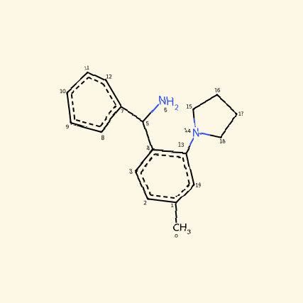 Cc1ccc(C(N)c2ccccc2)c(N2CCCC2)c1